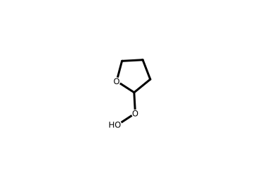 OOC1CCCO1